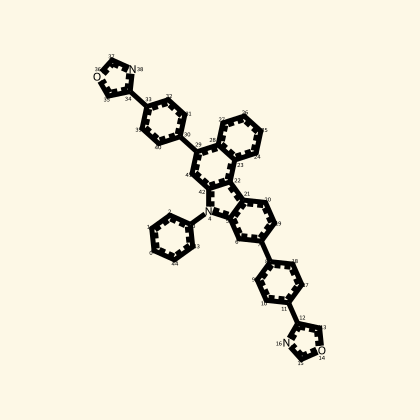 c1ccc(-n2c3cc(-c4ccc(-c5cocn5)cc4)ccc3c3c4ccccc4c(-c4ccc(-c5cocn5)cc4)cc32)cc1